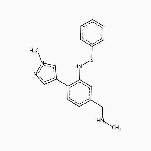 CNCc1ccc(-c2cnn(C)c2)c(NSc2ccccc2)c1